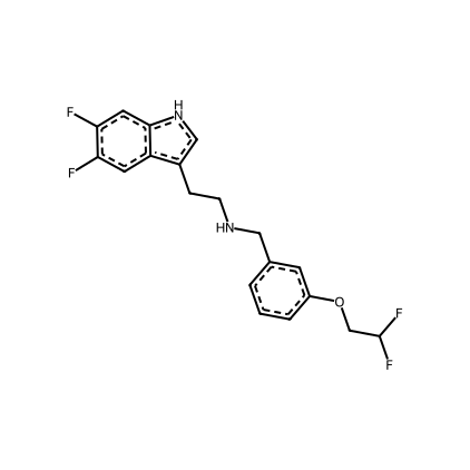 Fc1cc2[nH]cc(CCNCc3cccc(OCC(F)F)c3)c2cc1F